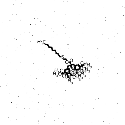 CCCCCCCCCCSCCOC(=O)C(Cc1cc(C(C)(C)C)c(O)c(C(C)(C)C)c1)(Cc1cc(C(C)(C)C)c(O)c(C(C)(C)C)c1)C(=O)O